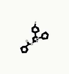 O=C(Oc1cc(-c2ccc(F)cc2)n(-c2ccccc2)n1)c1ccccc1